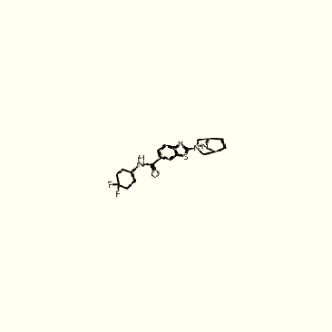 CN1C2CCC1CN(c1nc3ccc(C(=O)NC4CCC(F)(F)CC4)cc3s1)C2